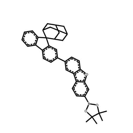 CC1(C)OB(c2ccc3c(c2)oc2ccc(-c4ccc5c(c4)C4(c6ccccc6-5)C5CC6CC(C5)CC4C6)cc23)OC1(C)C